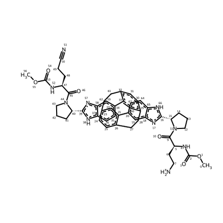 COC(=O)N[C@@H](CCN)C(=O)N1CCC[C@H]1c1nc2cc(-c3cc4ccc3CCc3ccc(c(-c5ccc6[nH]c([C@@H]7CCCN7C(=O)[C@H](CCC#N)NC(=O)OC)nc6c5)c3)CC4)ccc2[nH]1